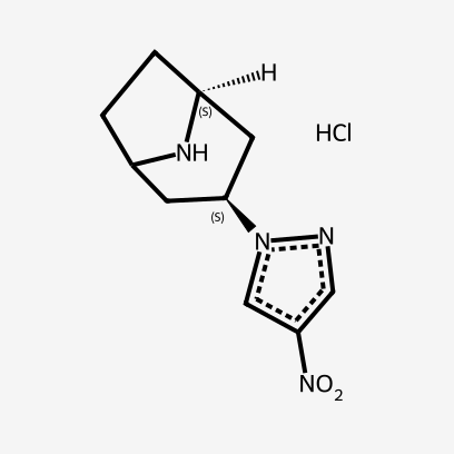 Cl.O=[N+]([O-])c1cnn([C@H]2CC3CC[C@@H](C2)N3)c1